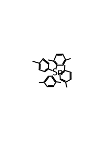 Cc1cc[c]([Sn]([c]2cc(C)ccc2C)([c]2cc(C)ccc2C)[c]2cc(C)ccc2C)cc1